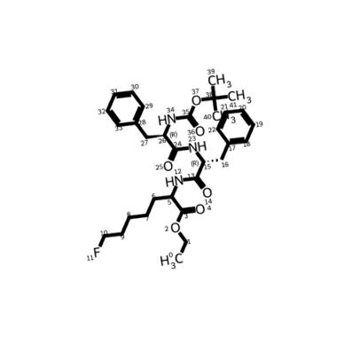 CCOC(=O)C(CCCCCF)NC(=O)[C@@H](Cc1ccccc1)NC(=O)[C@@H](Cc1ccccc1)NC(=O)OC(C)(C)C